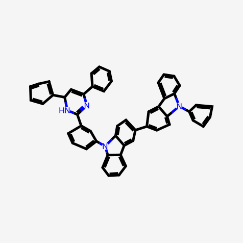 C1=C(c2ccccc2)N=C(c2cccc(-n3c4ccccc4c4cc(-c5ccc6c(c5)c5ccccc5n6-c5ccccc5)ccc43)c2)NC1c1ccccc1